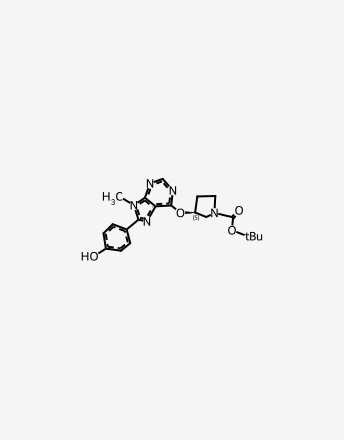 Cn1c(-c2ccc(O)cc2)nc2c(O[C@H]3CCN(C(=O)OC(C)(C)C)C3)ncnc21